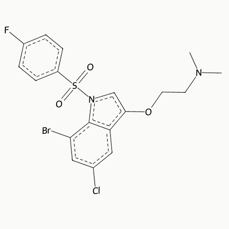 CN(C)CCOc1cn(S(=O)(=O)c2ccc(F)cc2)c2c(Br)cc(Cl)cc12